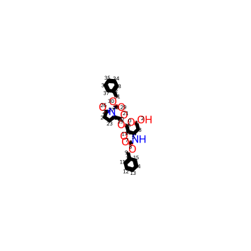 O=C(O)CC(NC(=O)OCc1ccccc1)C(=O)COC(=O)C1CCC(=O)N1C(=O)OCc1ccccc1